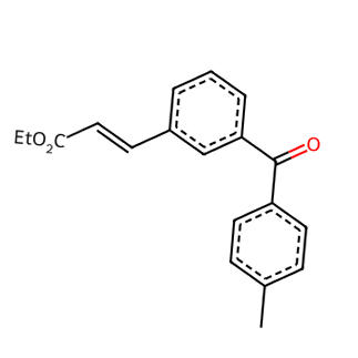 CCOC(=O)/C=C/c1cccc(C(=O)c2ccc(C)cc2)c1